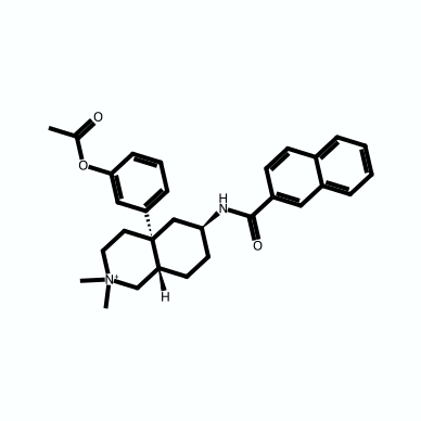 CC(=O)Oc1cccc([C@@]23CC[N+](C)(C)C[C@H]2CC[C@H](NC(=O)c2ccc4ccccc4c2)C3)c1